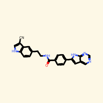 N#Cc1c[nH]c2ccc(CCNC(=O)c3ccc(-c4cc5cncnc5[nH]4)cc3)cc12